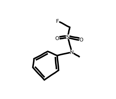 CN(c1ccccc1)S(=O)(=O)CF